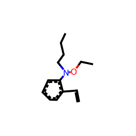 C=Cc1ccccc1N(CCCC)OCC